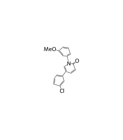 COc1cccc(-n2cc(-c3cccc(Cl)c3)ccc2=O)c1